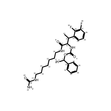 CC(C)C(OC(=O)NC(C(=O)NCCCCCCCNC(N)=O)C(C)c1cccc(F)c1F)c1ccccc1